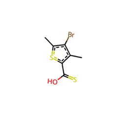 Cc1sc(C(O)=S)c(C)c1Br